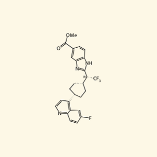 COC(=O)c1ccc2[nH]c([C@@H]([C@H]3CC[C@@H](c4ccnc5ccc(F)cc54)CC3)C(F)(F)F)nc2c1